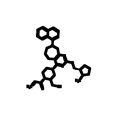 C=CC(=O)N1CCN(c2nc(OC[C@@H]3CCCN3C)nc3c2CCCN(c2cccc4ccccc24)C3)CC1CC#N